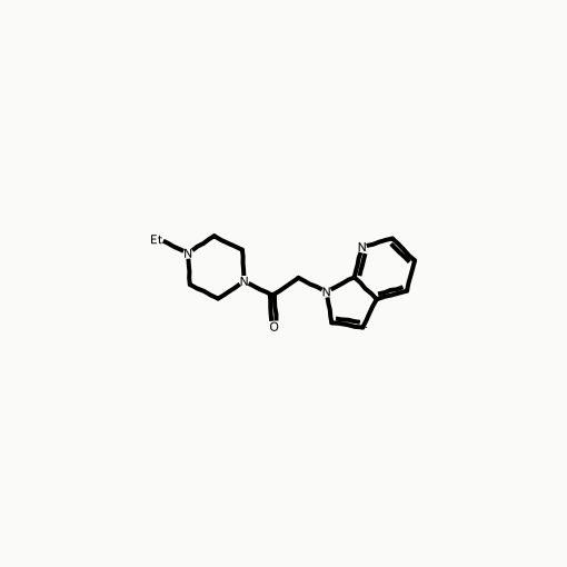 CCN1CCN(C(=O)Cn2c[c]c3cccnc32)CC1